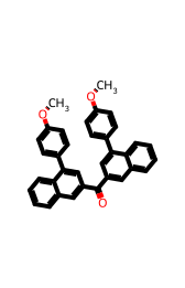 COc1ccc(-c2cc(C(=O)c3cc(-c4ccc(OC)cc4)c4ccccc4c3)cc3ccccc23)cc1